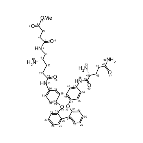 COC(=O)CCC(=O)NC[C@@H](N)CCC(=O)Nc1ccc(Oc2ccccc2-c2ccccc2Oc2ccc(NC(=O)[C@H](N)CCC(N)=O)cc2)cc1